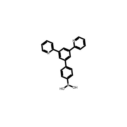 OB(O)c1ccc(-c2cc(-c3ccccn3)cc(-c3ccccn3)c2)cc1